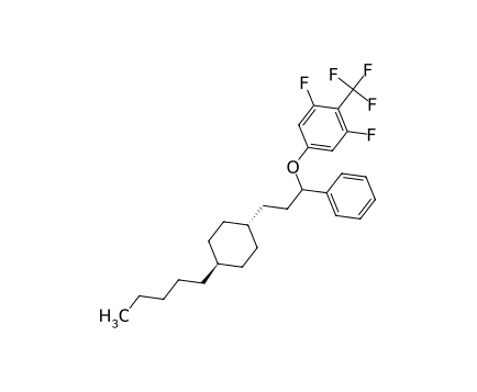 CCCCC[C@H]1CC[C@H](CCC(Oc2cc(F)c(C(F)(F)F)c(F)c2)c2ccccc2)CC1